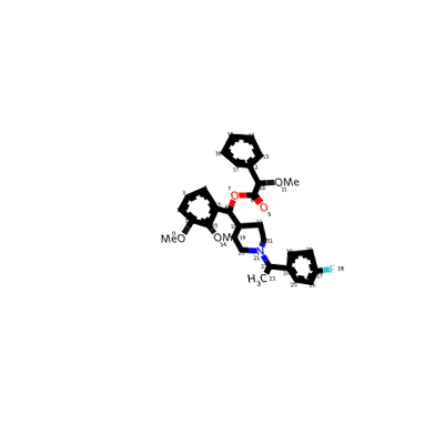 COc1cccc(C(OC(=O)C(OC)c2ccccc2)C2CCN(C(C)c3ccc(F)cc3)CC2)c1OC